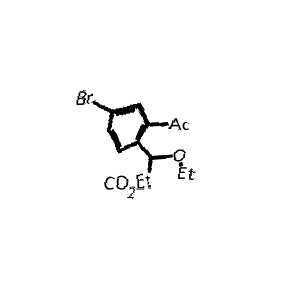 CCOC(=O)C(OCC)c1ccc(Br)cc1C(C)=O